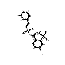 Cc1cccc(C=CS(=O)(=O)NC(=O)c2ccc(F)cc2C(F)(F)F)n1